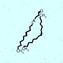 CCCCCC/C=C\CCCCCCCC.CCCCCCC=CCCCCCCCC=O